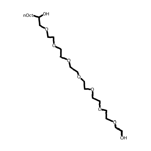 CCCCCCCCC(O)COCCOCCOCCOCCOCCOCCOCCO